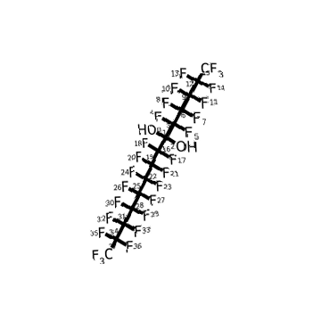 OC(O)(C(F)(F)C(F)(F)C(F)(F)C(F)(F)C(F)(F)F)C(F)(F)C(F)(F)C(F)(F)C(F)(F)C(F)(F)C(F)(F)C(F)(F)C(F)(F)F